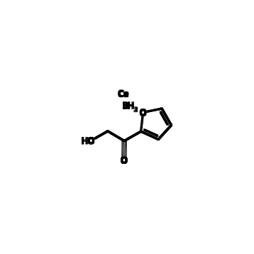 B.O=C(CO)c1ccco1.[Ce]